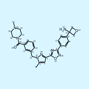 Cc1cc(-c2nc(-c3ccc(C4(N)COC4)cc3)no2)nn1Cc1cccc(C(=O)N2CCN(C)CC2)c1